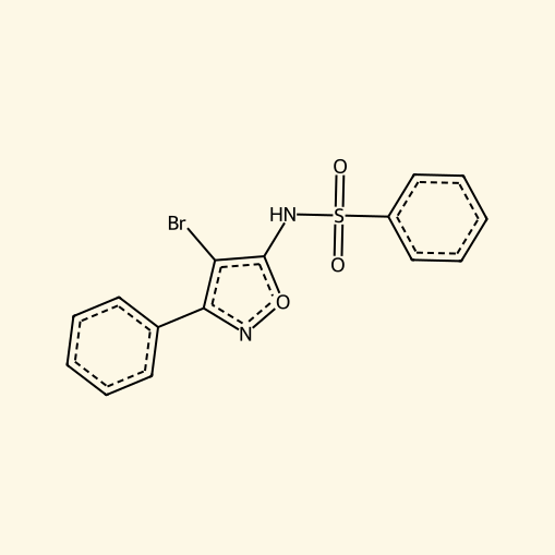 O=S(=O)(Nc1onc(-c2ccccc2)c1Br)c1ccccc1